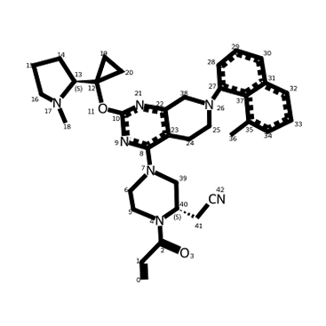 C=CC(=O)N1CCN(c2nc(OC3([C@@H]4CCCN4C)CC3)nc3c2CCN(c2cccc4cccc(C)c24)C3)C[C@@H]1CC#N